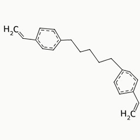 C=Cc1ccc(CCCCCc2ccc(C=C)cc2)cc1